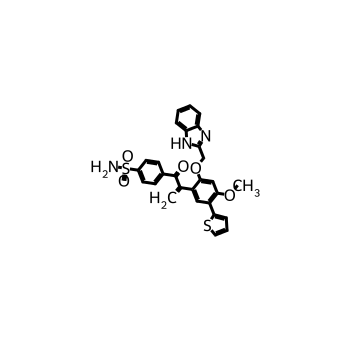 C=C(C(=O)c1ccc(S(N)(=O)=O)cc1)c1cc(-c2cccs2)c(OC)cc1OCc1nc2ccccc2[nH]1